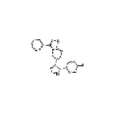 Fc1ccc(C2N=CC=C2c2ccc3ncn(-c4ccccc4)c3c2)cc1